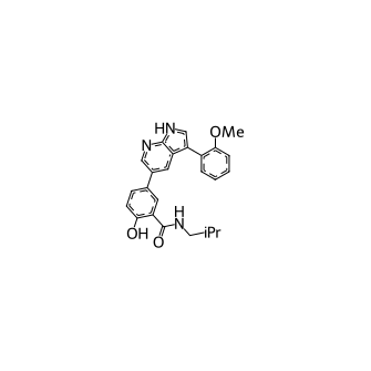 COc1ccccc1-c1c[nH]c2ncc(-c3ccc(O)c(C(=O)NCC(C)C)c3)cc12